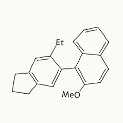 CCc1cc2c(cc1-c1c(OC)ccc3ccccc13)CCC2